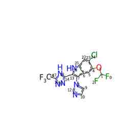 FC(F)Oc1cc2c(-n3ccnc3)c(-c3nnc(C(F)(F)F)[nH]3)[nH]c2cc1Cl